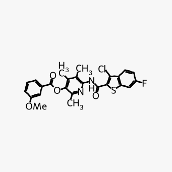 COc1cccc(C(=O)Oc2c(C)nc(NC(=O)c3sc4cc(F)ccc4c3Cl)c(C)c2C)c1